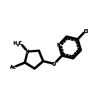 CC(=O)C1CC(Oc2ccc(Cl)cn2)CN1C